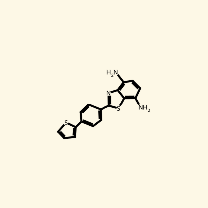 Nc1ccc(N)c2sc(-c3ccc(-c4cccs4)cc3)nc12